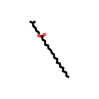 CCCCCCCCCCCCCCCCCCC(=O)OCCCCC(C)C